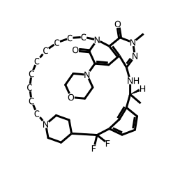 C[C@H]1Nc2nn(C)c(=O)c3c2cc(N2CCOCC2)c(=O)n3CCCCCCCCCN2CCC(CC2)C(F)(F)c2cccc1c2